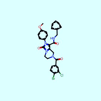 COc1ccc(-n2c(C(=O)NCc3ccccc3)c3n(c2=O)CCN(C(=O)c2ccc(Br)c(Cl)c2)C3)cc1